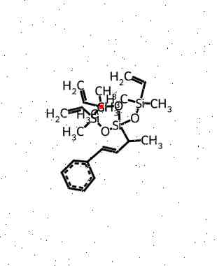 C=C[Si](C)(C)O[Si](O[Si](C)(C)C=C)(O[Si](C)(C)C=C)C(C)C=Cc1ccccc1